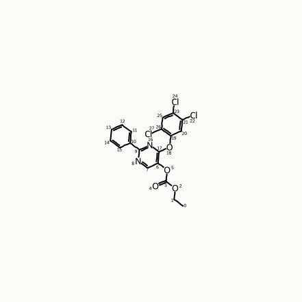 CCOC(=O)Oc1cnc(-c2ccccc2)nc1Oc1cc(Cl)c(Cl)cc1Cl